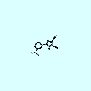 N#Cc1nc(-c2cccc([N+](=O)[O-])c2)[nH]c1C#N